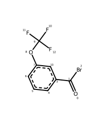 O=C(Br)c1cccc(OC(F)(F)F)c1